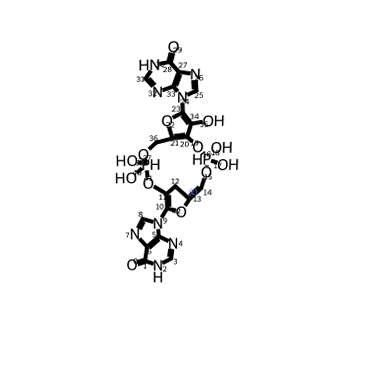 O=c1[nH]cnc2c1ncn2C1=C2C/C(=C\O[PH](O)(O)Oc3c(oc(-n4cnc5c(=O)[nH]cnc54)c3O)CO[PH](O)(O)O2)O1